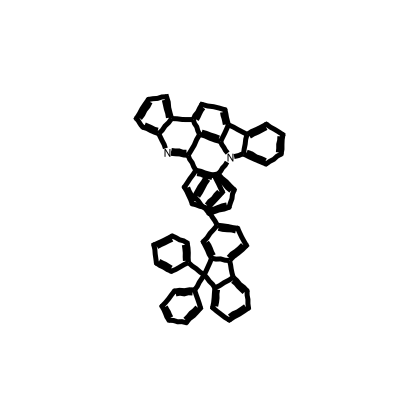 c1ccc(-n2c3ccccc3c3ccc4c5ccccc5nc(-c5ccc(-c6ccc7c(c6)C(c6ccccc6)(c6ccccc6)c6ccccc6-7)cc5)c4c32)cc1